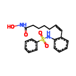 O=C(CCCC/C=C\c1ccccc1NS(=O)(=O)c1ccccc1)NO